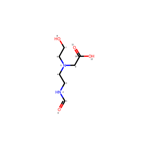 O=CNCCN(CCO)CC(=O)O